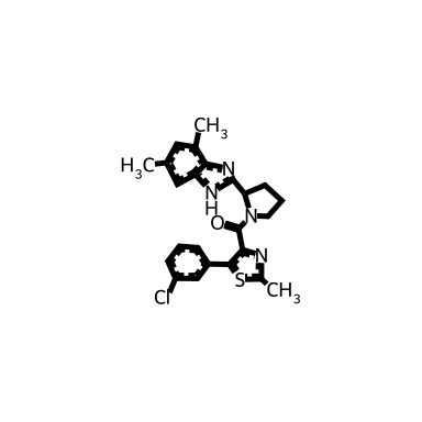 Cc1cc(C)c2nc(C3CCCN3C(=O)c3nc(C)sc3-c3cccc(Cl)c3)[nH]c2c1